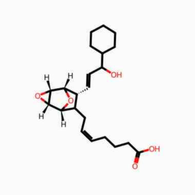 O=C(O)CCC/C=C\CC1[C@@H](/C=C/C(O)C2CCCCC2)[C@@H]2O[C@H]1[C@@H]1O[C@H]21